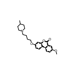 COc1ccc2c(c1)c(=O)oc1cc(OCCCCN3CCC(C)CC3)ccc12